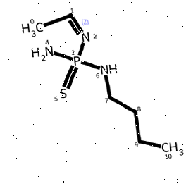 C/C=N\P(N)(=S)NCCCC